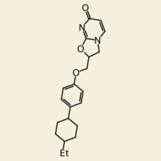 CCC1CCC(c2ccc(OCC3Cn4ccc(=O)nc4O3)cc2)CC1